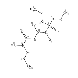 CCOP(=O)(OCC)[S+]([O-])[S+]([O-])CC(=O)N(C)CSC